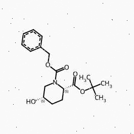 CC(C)(C)OC(=O)[C@@H]1CC[C@H](O)CN1C(=O)OCc1ccccc1